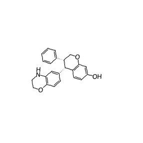 Oc1ccc2c(c1)OC[C@@H](c1ccccc1)[C@H]2c1ccc2c(c1)NCCO2